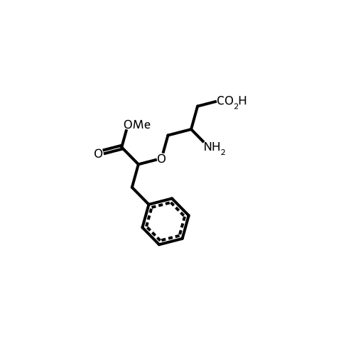 COC(=O)C(Cc1ccccc1)OCC(N)CC(=O)O